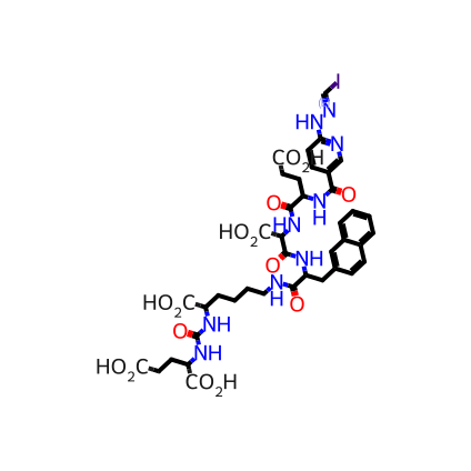 O=C(O)CCC(NC(=O)NC(CCCCNC(=O)C(Cc1ccc2ccccc2c1)NC(=O)C(NC(=O)C(CCC(=O)O)NC(=O)c1ccc(N/N=C/I)nc1)C(=O)O)C(=O)O)C(=O)O